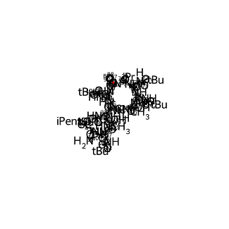 CCCC(C)OC(=O)CCC(=O)N[C@@H](CCN)C(=O)N[C@@H](CCNC(=O)OC(C)(C)C)C(=O)N[C@H](C(=O)N[C@@H](CCNC(=O)OC(C)(C)C)C(=O)N[C@H]1CCNC(=O)[C@H](C(C)O)NC(=O)[C@H](CCNC(=O)OC(C)(C)C)NC(=O)[C@H](CCNC(=O)OC(C)(C)C)NC(=O)[C@H](CC(C)C)NC(=O)[C@@H](Cc2ccccc2)NC(=O)[C@H](CCNC(=O)OC(C)(C)C)NC1)C(C)O